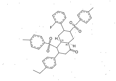 CCc1ccc(C2CC(=O)[C@@H]3CC(S(=O)(=O)c4ccc(C)cc4)C(c4ccccc4F)C[C@@H]3C2S(=O)(=O)c2ccc(C)cc2)cc1